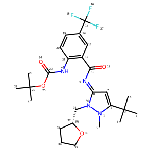 Cn1c(C(C)(C)C)cc(=NC(=O)c2cc(C(F)(F)F)ccc2NC(=O)OC(C)(C)C)n1C[C@H]1CCCO1